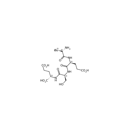 CC[C@H](C)[C@H](N)C(=O)N[C@@H](CCC(=O)O)C(=O)N[C@@H](CO)C(=O)N[C@@H](CCC(=O)O)C(=O)O